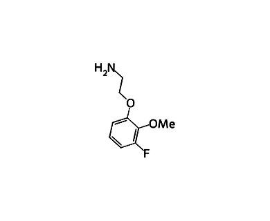 COc1c(F)cccc1OCCN